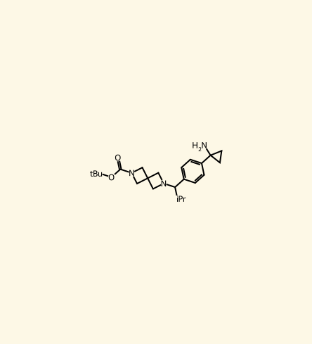 CC(C)C(c1ccc(C2(N)CC2)cc1)N1CC2(CN(C(=O)OC(C)(C)C)C2)C1